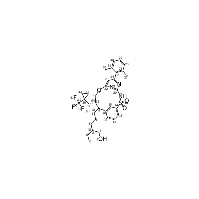 CC[C@H](CO)CC[C@H](C)C1c2cccc(c2)S(=O)(=O)Nc2nc(cc(-c3c(C)cccc3C)n2)OC[C@H]1CC1(C(F)(F)F)CC1